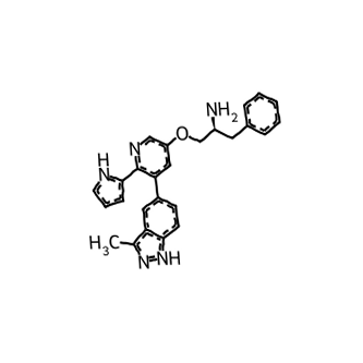 Cc1n[nH]c2ccc(-c3cc(OC[C@@H](N)Cc4ccccc4)cnc3-c3ccc[nH]3)cc12